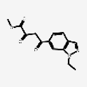 CCn1ncc2ccc(C(=O)CC(=O)C(=O)OC)cc21